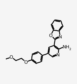 COCCOc1ccc(-c2cnc(N)c(-c3nc4ccccc4o3)c2)cc1